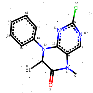 CCC1C(=O)N(C)c2cnc(Cl)nc2N1c1ccccc1